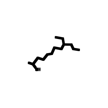 CCCC(CC)CCCCCCC(C)O